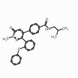 CC(C)CNC(=O)c1ccc(-c2cc(=O)n(C)nc2-c2ccccc2Oc2ccccc2)cc1